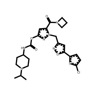 CC(C)N1CCC(NC(=O)Oc2cc(C(=O)N3CCC3)n(Cc3cc(-c4ccc(Cl)s4)on3)n2)CC1